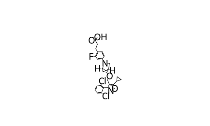 O=C(O)CCc1ccc(N2C[C@@H]3C[C@H]2C[C@H]3OCc2c(-c3c(Cl)cccc3Cl)noc2C2CC2)cc1F